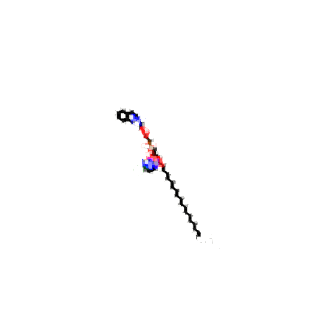 CCCCCCCCCCCCCCCCCCOCC(C[S+]([O-])CCOCC[n+]1ccc2ccccc2c1)Oc1ncccn1.[Cl-]